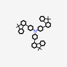 CC1(C)c2ccccc2-c2c(-c3ccc(N(c4ccc(-c5cccc6c5-c5ccccc5C6(C)C)cc4)c4ccc(-c5cccc6c5-c5ccccc5C6(C)C)cc4)cc3)cccc21